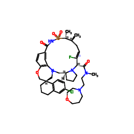 C[C@@H]1[C@@H](C)C/C=C(\F)[C@H](C(=O)N(C)CCN2CCCOCC2)N2CCC[C@H]2CN2C[C@@]3(CCCc4cc(Cl)ccc43)COc3ccc(cc32)C(=O)NS1(=O)=O